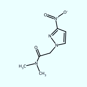 CN(C)C(=O)Cn1ccc([N+](=O)[O-])n1